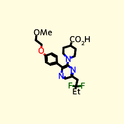 CCC(F)(F)Cc1cnc(-c2ccc(OCCOC)cc2)c(N2CCC(C(=O)O)CC2)n1